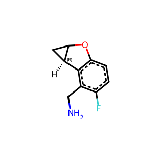 NCc1c(F)ccc2c1[C@H]1CC1O2